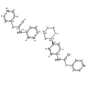 O=C(Cc1ccncc1)Nc1ccc([C@@H]2CCC[C@@H](c3ccc(NC(=O)Cc4ccncc4)nn3)C2)nn1